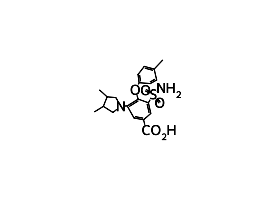 Cc1ccc(Oc2c(N3CC(C)C(C)C3)cc(C(=O)O)cc2S(N)(=O)=O)cc1